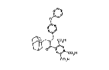 O=C(O)c1cc(C(=O)O)c(C(=O)N(Cc2ccc(Oc3ccccc3)cc2)CC23CC4CC(CC(C4)C2)C3)cc1C(=O)O